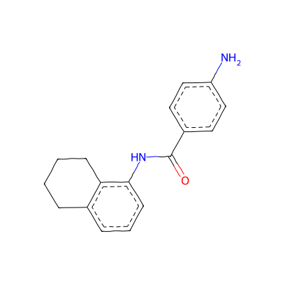 Nc1ccc(C(=O)Nc2cccc3c2CCCC3)cc1